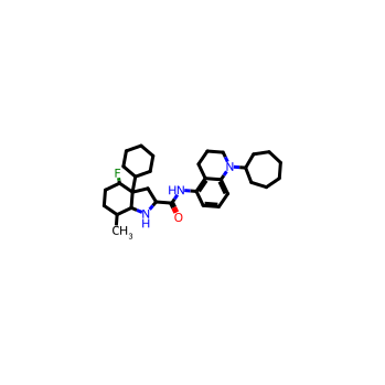 CC1CCC(F)C2(C3CCCCC3)CC(C(=O)Nc3cccc4c3CCCN4C3CCCCCC3)NC12